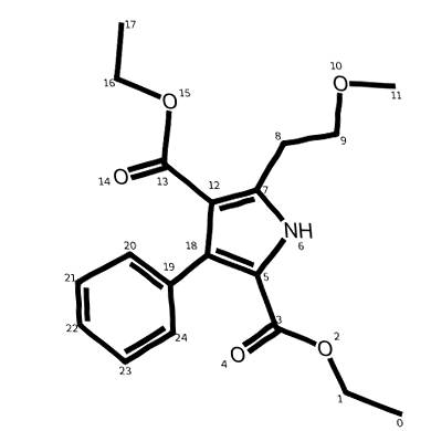 CCOC(=O)c1[nH]c(CCOC)c(C(=O)OCC)c1-c1ccccc1